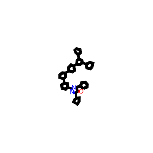 c1ccc(-c2cc(-c3ccccc3)cc(-c3ccc(-c4cccc(-c5cccc(-c6nc(-c7ccccc7)c7oc8ccccc8c7n6)c5)c4)cc3)c2)cc1